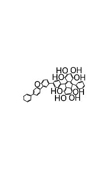 Oc1c(O)c(O)c2c(-c3ccc(-c4ccc5oc6cc(C7=CCCC=C7)ccc6c5c4)cc3)c3c(O)c(O)c(O)c(O)c3c(-c3ccccc3)c2c1O